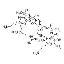 C[C@H](NC(=O)[C@@H](NC(=O)[C@@H](N)CCCCN)[C@@H](O)CN)C(=O)NCC(=O)N[C@H](CCCN)C(=O)N1CCC[C@H]1C(=O)N[C@H](C(=O)N[C@@H](CCCCN)C(=O)CC/C(=C\CCNC(=N)N)C(=O)O)[C@@H](C)O